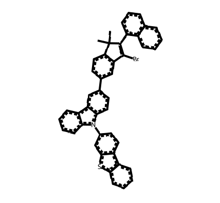 CC1(C)C(c2cccc3ccccc23)=C(Br)c2cc(-c3ccc4c(c3)c3ccccc3n4-c3ccc4c(c3)sc3ccccc34)ccc21